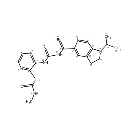 CNC(=O)Oc1nccnc1NC(=S)NC(=N)c1cc2c(cn1)N(C(C)C)CC2